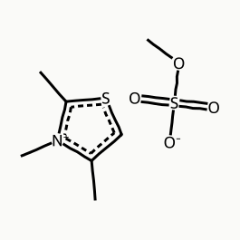 COS(=O)(=O)[O-].Cc1csc(C)[n+]1C